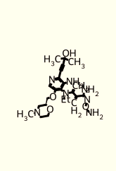 C=C(C(=C)N(CC)c1c(OC[C@@H]2CN(C)CCO2)cnc(C#CC(C)(C)O)c1N)/C(N)=N\ON